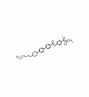 CCCCCC1CCC(c2ccc(-c3ccc(C(=O)Oc4ccc(C(=O)NC)cc4)cc3)cc2)CC1